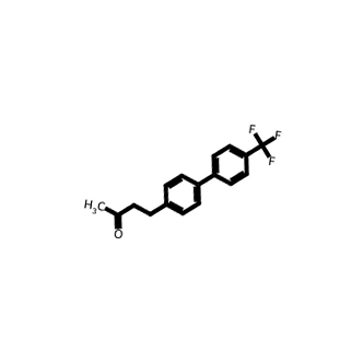 CC(=O)CCc1ccc(-c2ccc(C(F)(F)F)cc2)cc1